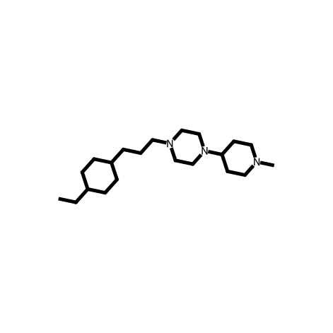 CCC1CCC(CCCN2CCN(C3CCN(C)CC3)CC2)CC1